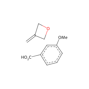 C=C1COC1.COc1cccc(C(=O)O)c1